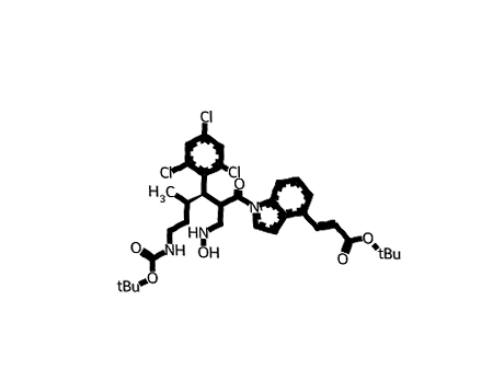 CC(CCNC(=O)OC(C)(C)C)[C@@H](c1c(Cl)cc(Cl)cc1Cl)C(CNO)C(=O)n1ccc2c(/C=C/C(=O)OC(C)(C)C)cccc21